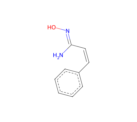 NC(/C=C\c1ccccc1)=N\O